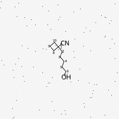 N#CC1(CCCCCO)CCC1